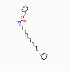 CN(CCCC/C=C/CCCCCCCCCc1ccccc1)C(=O)OCc1ccccc1